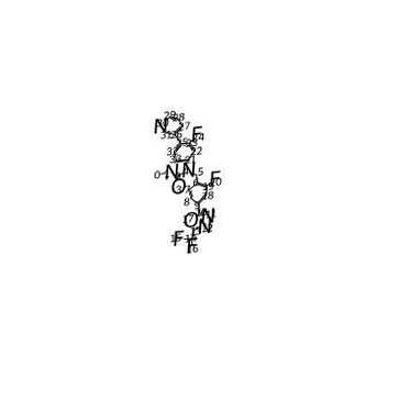 Cn1c(=O)n(Cc2ccc(-c3nnc(C(F)F)o3)cc2F)c2cc(F)c(-c3cccnc3)cc21